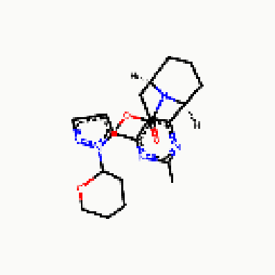 Cc1nc(-c2ccnn2C2CCCCO2)c2c(n1)[C@@H]1CCC[C@H](C2)N1C(=O)OC(C)(C)C